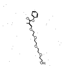 CC(=COCCOCCOCCOCCO)C(=O)Oc1ccccc1